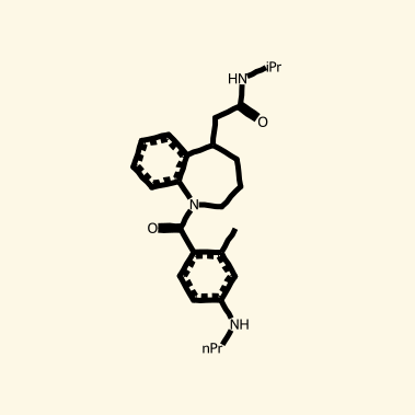 CCCNc1ccc(C(=O)N2CCCC(CC(=O)NC(C)C)c3ccccc32)c(C)c1